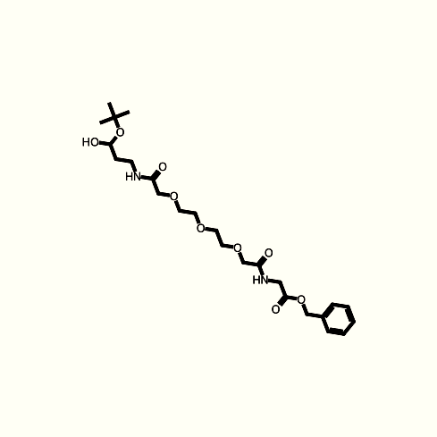 CC(C)(C)OC(O)CCNC(=O)COCCOCCOCC(=O)NCC(=O)OCc1ccccc1